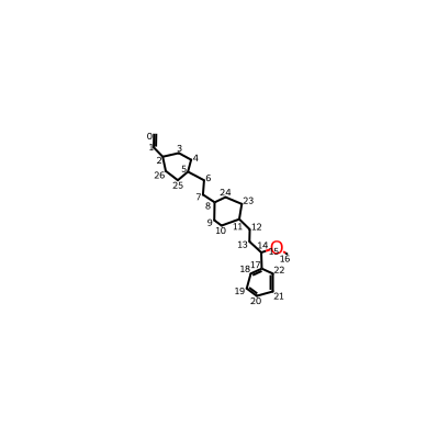 C=CC1CCC(CCC2CCC(CCC(OC)c3ccccc3)CC2)CC1